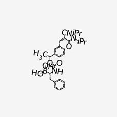 CC(OC(=O)NC(Cc1ccccc1)B(O)O)c1cccc(C=C(C#N)C(=O)N(C(C)C)C(C)C)c1